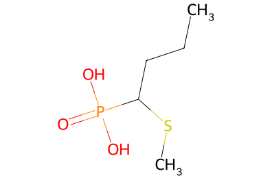 CCCC(SC)P(=O)(O)O